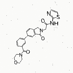 O=C(CN1Cc2ccc(-c3cccc(C(=O)N4CCOCC4)c3)cc2C1=O)Nc1nccs1